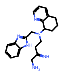 N=C(CN)CCN(Cc1nc2ccccc2[nH]1)C1CCCc2cccnc21